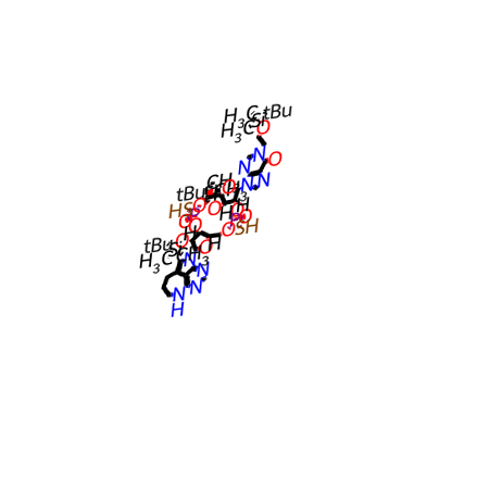 CC(C)(C)[Si](C)(C)CO[C@H]1[C@H]2OP(=O)(S)OC[C@H]3O[C@@H](n4cc5c6c(ncnc64)NCCC5)[C@H](O[Si](C)(C)C(C)(C)C)[C@@H]3OP(=O)(S)OC[C@H]1O[C@H]2n1cnc2c(=O)n(CCO[Si](C)(C)C(C)(C)C)cnc21